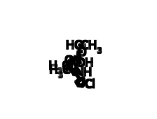 C[C@@H](O)OCCCN1C(O)c2[nH]c(-c3cccc(Cl)c3)cc2N(C)C1(C)O